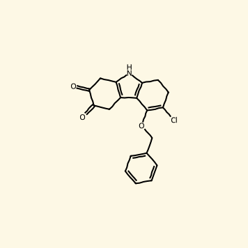 O=C1Cc2[nH]c3c(c2CC1=O)C(OCc1ccccc1)=C(Cl)CC3